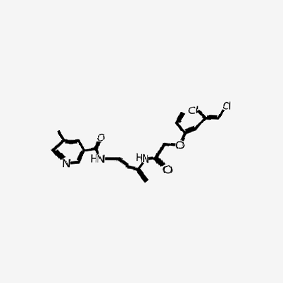 C=C/C(=C\C(Cl)=C\Cl)OCC(=O)NC(=C)CCNC(=O)c1cncc(C)c1